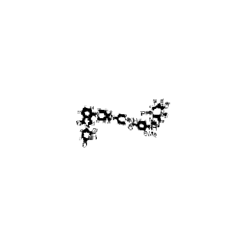 COc1cc(C(=O)NN2CCC(N3CC4(CCN(c5cccc6c5CN(C5CCC(=O)NC5=O)C6=O)CC4)C3)CC2)ccc1Nc1ncc2c(n1)N(C(C)C)CC(F)(F)C(=O)N2C